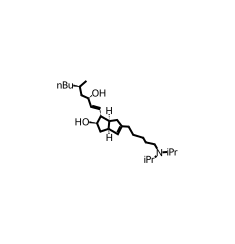 CCCC[C@@H](C)C[C@H](O)/C=C/[C@@H]1[C@H]2CC(CCCCCN(C(C)C)C(C)C)=C[C@H]2C[C@H]1O